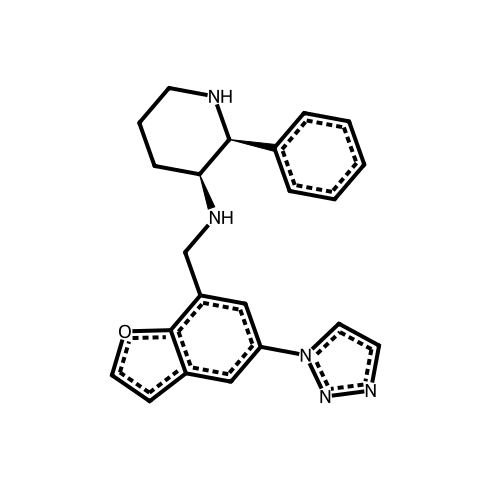 c1ccc([C@@H]2NCCC[C@@H]2NCc2cc(-n3ccnn3)cc3ccoc23)cc1